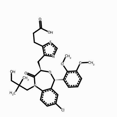 COc1cccc([C@H]2O[C@H](Cc3ncsc3CCC(=O)O)C(=O)N(CC(C)(C)CO)c3ccc(Cl)cc32)c1OC